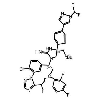 CC(C)(C)C[C@@]1(c2ccc(-c3cnn(C(F)F)c3)cc2)CN([C@H](COc2ccc(F)cc2F)c2ccc(Cl)c(-n3ncnc3C(F)F)c2)C(=N)N1